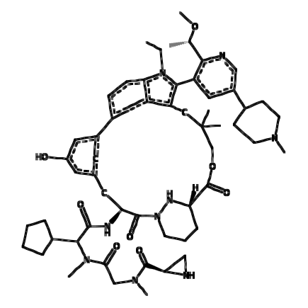 CCn1c(-c2cc(C3CCN(C)CC3)cnc2[C@H](C)OC)c2c3cc(ccc31)-c1cc(O)cc(c1)C[C@H](NC(=O)C(C1CCCC1)N(C)C(=O)CN(C)C(=O)[C@H]1CN1)C(=O)N1CCC[C@H](N1)C(=O)OCC(C)(C)C2